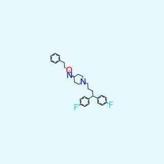 Fc1ccc(C(CCCN2CCC(=NOCCc3ccccc3)CC2)c2ccc(F)cc2)cc1